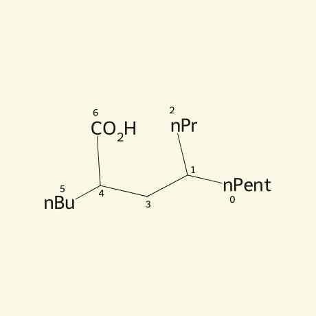 CCCCCC(CCC)CC(CCCC)C(=O)O